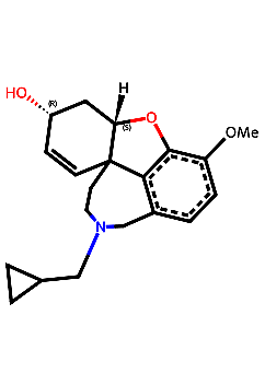 COc1ccc2c3c1O[C@H]1C[C@@H](O)C=CC31CCN(CC1CC1)C2